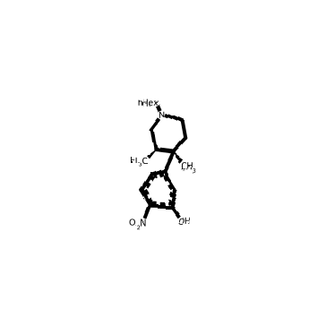 CCCCCCN1CC[C@](C)(c2ccc([N+](=O)[O-])c(O)c2)[C@@H](C)C1